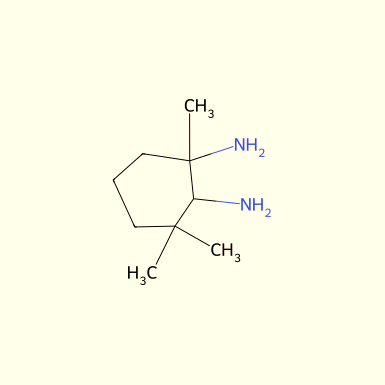 CC1(C)CCCC(C)(N)C1N